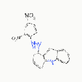 O=[N+]([O-])c1ccc(NN=C2CC=Cc3nc4ccccc4cc32)c([N+](=O)[O-])c1